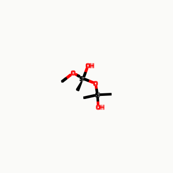 CO[Si@](C)(O)O[Si](C)(C)O